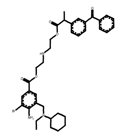 CCN(Cc1cc(C(=O)OCCNCCOC(=O)C(C)c2cccc(C(=O)c3ccccc3)c2)cc(Br)c1N)C1CCCCC1